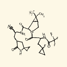 CC1(C)C2CN(C(=O)C(CC3(F)CC3)NC(=O)C(F)(F)F)C(C(=O)NC(C#N)CC3CC4(CC4)NC3=O)C21